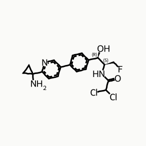 NC1(c2ccc(-c3ccc([C@@H](O)[C@@H](CF)NC(=O)C(Cl)Cl)cc3)cn2)CC1